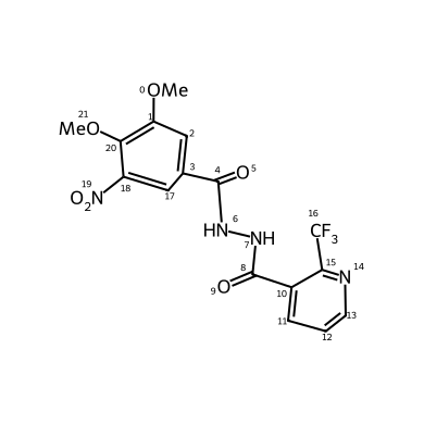 COc1cc(C(=O)NNC(=O)c2cccnc2C(F)(F)F)cc([N+](=O)[O-])c1OC